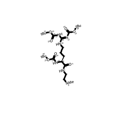 CNCCNC(=O)[C@H](CCCNC(=NC(=O)OC(C)(C)C)NC(=O)OC(C)(C)C)NC(=O)OC(C)(C)C